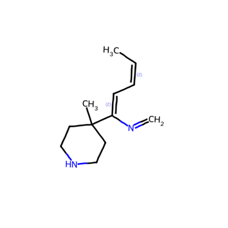 C=N/C(=C\C=C/C)C1(C)CCNCC1